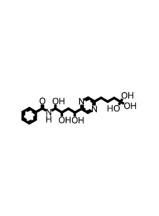 O=C(NC(O)C(O)CC(O)c1cnc(CCCC(O)(O)O)cn1)c1ccccc1